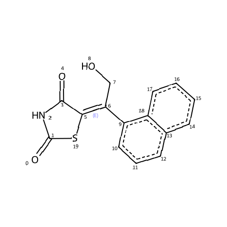 O=C1NC(=O)/C(=C(\CO)c2cccc3ccccc23)S1